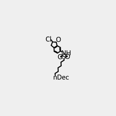 CCCCCCCCCCCCCCCCS(=O)(=O)Nc1ccc2c(c1)C(=O)C(Cl)C2